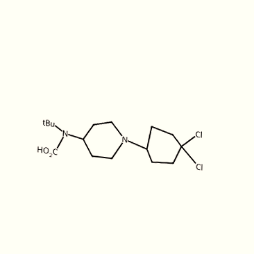 CC(C)(C)N(C(=O)O)C1CCN(C2CCC(Cl)(Cl)CC2)CC1